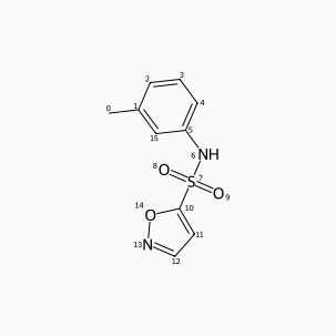 Cc1cccc(NS(=O)(=O)c2ccno2)c1